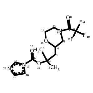 CC(C)(CC1CN(C(=O)C(F)(F)F)CCO1)OC(=O)n1ccnc1